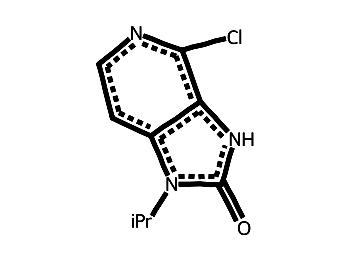 CC(C)n1c(=O)[nH]c2c(Cl)nccc21